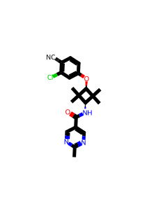 Cc1ncc(C(=O)N[C@H]2C(C)(C)[C@H](Oc3ccc(C#N)c(Cl)c3)C2(C)C)cn1